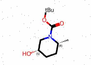 C[C@@H]1CC[C@H](O)CN1C(=O)OC(C)(C)C